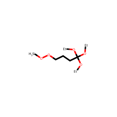 CCOC(CCCOO[SiH3])(OCC)OCC